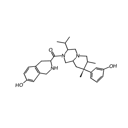 CC(C)C1CN2CC(C)[C@](C)(c3cccc(O)c3)CC2CN1C(=O)C1Cc2ccc(O)cc2CN1